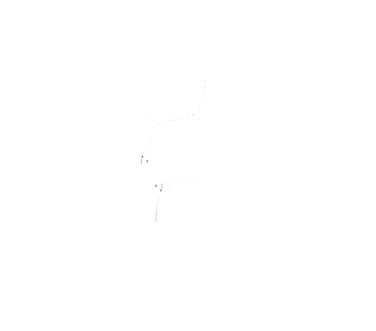 CC(C)C(C)N(C)N(C)C